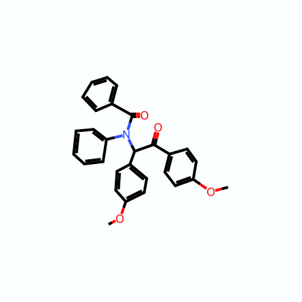 COc1ccc(C(=O)C(c2ccc(OC)cc2)N(C(=O)c2ccccc2)c2ccccc2)cc1